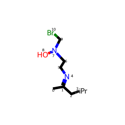 CC(CC(C)C)=NCCN(O)CBr